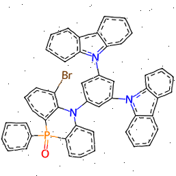 O=P1(c2ccccc2)c2ccccc2N(c2cc(-n3c4ccccc4c4ccccc43)cc(-n3c4ccccc4c4ccccc43)c2)c2c(Br)cccc21